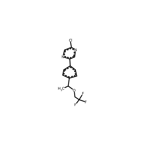 CC(OCC(F)(F)F)c1ccc(-c2cnc(Cl)cn2)cc1